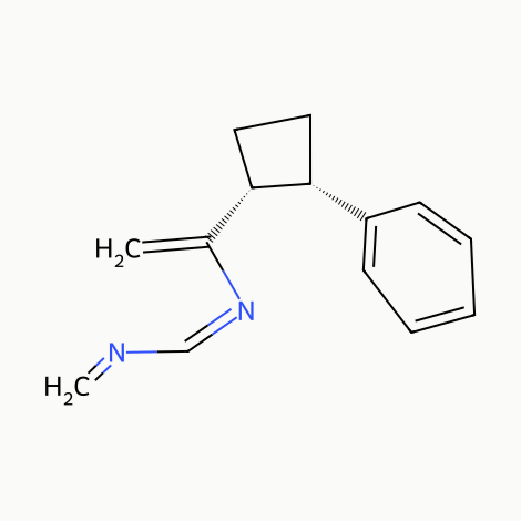 C=N/C=N\C(=C)[C@@H]1CC[C@@H]1c1ccccc1